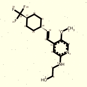 COc1cnc(NCCO)cc1/C=C/[C@H]1CC[C@H](C(F)(F)F)CC1